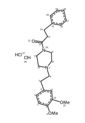 COc1ccc(CCN2CCN(C(=O)CCc3ccccc3)CC2)cc1OC.Cl.Cl